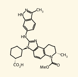 COC(=O)N1c2ccc3c(nc(Nc4ccc5c(C)n[nH]c5c4)n3[C@@H]3CCC[C@@H](C(=O)O)C3)c2CC[C@@H]1C